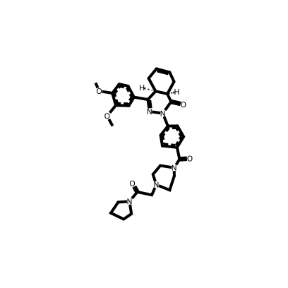 COc1ccc(C2=NN(c3ccc(C(=O)N4CCN(CC(=O)N5CCCC5)CC4)cc3)C(=O)[C@@H]3CC=CC[C@H]23)cc1OC